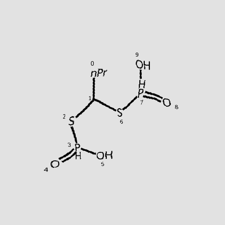 [CH2]CCC(S[PH](=O)O)S[PH](=O)O